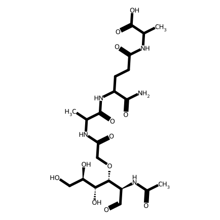 CC(=O)N[C@@H](C=O)[C@@H](OCC(=O)NC(C)C(=O)NC(CCC(=O)NC(C)C(=O)O)C(N)=O)[C@H](O)[C@H](O)CO